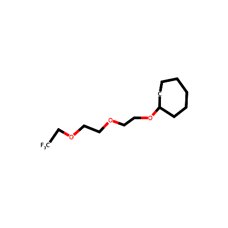 FC(F)(F)COCCOCCOC1CCCCCC1